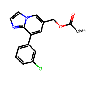 COC(=O)OCc1cc(-c2cccc(Cl)c2)c2nccn2c1